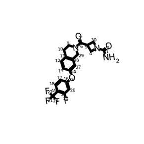 NC(=O)N1CC(C(=O)N2CCc3ccc(Oc4ccc(C(F)(F)F)c(F)c4)cc3C2)C1